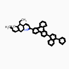 C=C/C=C\C1=C(C)C(CC)C(/C=C\C(=N)c2ccc3c4ccc(-c5ccc(-c6ccccc6)c6ccccc56)cc4c4ccccc4c3c2)CC1